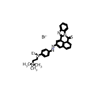 CCN(CC[N+](C)(C)C)c1ccc(/N=N/c2cc3cccc4c(=S)n5c6ccccc6nc5c(c2)c34)cc1.[Br-]